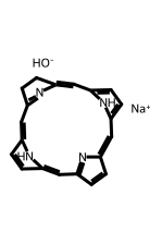 C1=Cc2cc3ccc(cc4nc(cc5ccc(cc1n2)[nH]5)CC4)[nH]3.[Na+].[OH-]